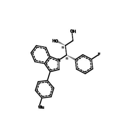 CC(C)(C)c1ccc(-c2cn([C@@H](c3cccc(F)c3)[C@H](O)CO)c3ccccc23)cc1